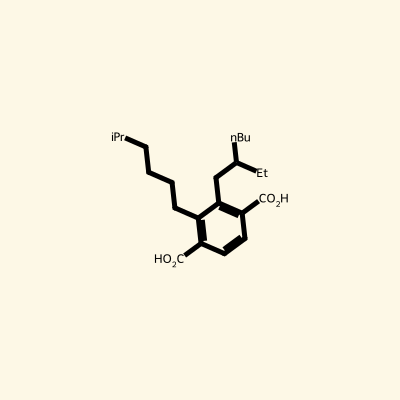 CCCCC(CC)Cc1c(C(=O)O)ccc(C(=O)O)c1CCCCC(C)C